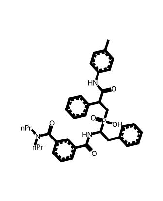 CCCN(CCC)C(=O)c1cccc(C(=O)NC(Cc2ccccc2)P(=O)(O)CC(C(=O)Nc2ccc(C)cc2)c2ccccc2)c1